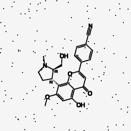 COc1cc(O)c2c(=O)cc(-c3ccc(C#N)cc3)oc2c1[C@@H]1CCN(C)[C@H]1CO